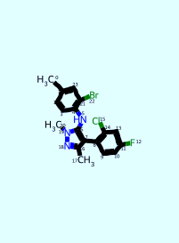 Cc1ccc(Nc2c(-c3ccc(F)cc3Cl)c(C)nn2C)c(Br)c1